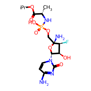 CC(C)OC(=O)[C@H](C)NP(=O)(O)OC[C@@]1(N)O[C@@H](n2ccc(N)nc2=O)[C@H](O)[C@@H]1F